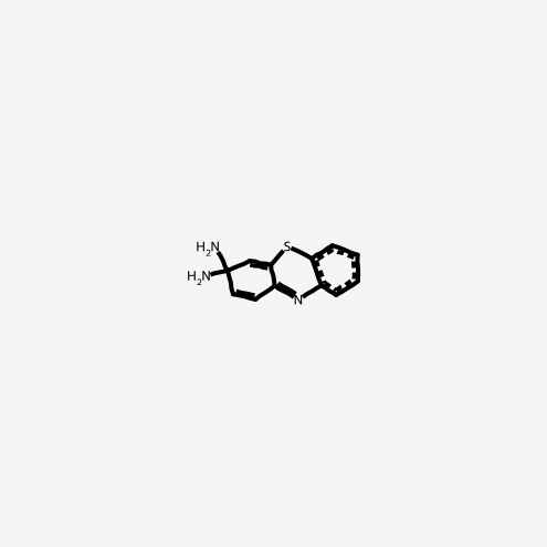 NC1(N)C=CC2=Nc3ccccc3SC2=C1